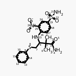 CC(C)(C(N)=O)C(CSc1ccccc1)Nc1ccc(S(N)(=O)=O)cc1[N+](=O)[O-]